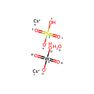 O.O=S(=O)([O-])O.[Cs+].[Cs+].[O]=[W](=[O])([O-])[OH]